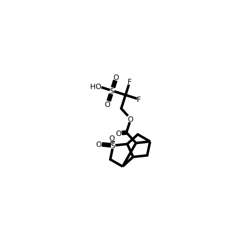 O=C(OCC(F)(F)S(=O)(=O)O)C1C2CC3C1CS(=O)(=O)C3C2